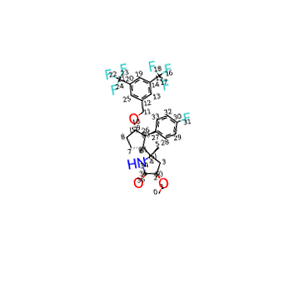 CO[C@@H]1C[C@@](C)([C@@H]2CC[C@H](OCc3cc(C(F)(F)F)cc(C(F)(F)F)c3)[C@H]2c2ccc(F)cc2)NC1=O